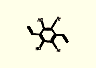 C=Cc1c(O)c(C(C)=O)c(C=C)c(C(C)=O)c1O